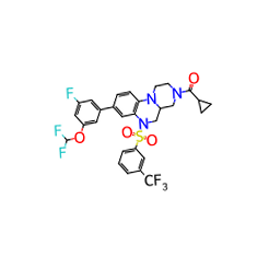 O=C(C1CC1)N1CCN2c3ccc(-c4cc(F)cc(OC(F)F)c4)cc3N(S(=O)(=O)c3cccc(C(F)(F)F)c3)CC2C1